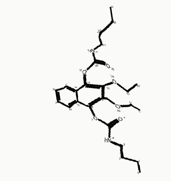 CCCCNC(=O)Oc1c(OCC)c(OCC)c(OC(=O)NCCCC)c2ccccc12